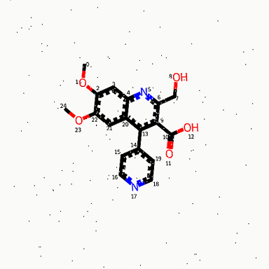 COc1cc2nc(CO)c(C(=O)O)c(-c3ccncc3)c2cc1OC